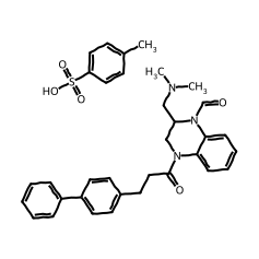 CN(C)CC1CN(C(=O)CCc2ccc(-c3ccccc3)cc2)c2ccccc2N1C=O.Cc1ccc(S(=O)(=O)O)cc1